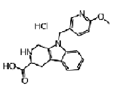 COc1ccc(Cn2c3c(c4ccccc42)CC(C(=O)O)NC3)cn1.Cl